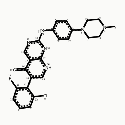 CN1CCN(c2ccc(Nc3ncc4c(=O)c(-c5c(F)cccc5Cl)c[nH]c4n3)cc2)CC1